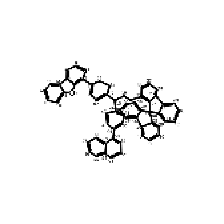 C1=C(c2cccc3c2oc2ccccc23)CCC(C(CCc2cccc3c2C2(c4ccccc4-c4ccccc42)c2ccccc2-3)c2ccc(-c3cccc4ccccc34)cc2)=C1